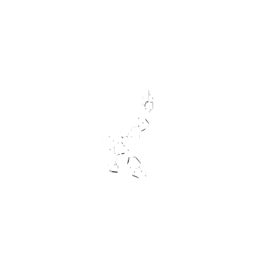 Cc1cnc2ccc(-c3nc(C(=O)NCc4cccc(N5CC6[C@@H]([C@H]5C)N6C)n4)c(N)nc3-c3ncco3)cn12